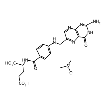 C[S+](C)[O-].Nc1nc2ncc(CNc3ccc(C(=O)NC(CCC(=O)O)C(=O)O)cc3)nc2c(=O)[nH]1